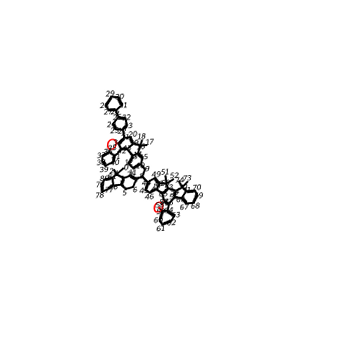 CC1(C)C2=C(CCC(C(Cc3ccc4c(c3)C(C)(C)c3cc(-c5ccc(-c6ccccc6)cc5)c5oc6ccccc6c5c3-4)c3ccc4c(c3)C(C)(C)c3c5c(c6c(oc7ccccc76)c3-4)-c3ccccc3C5(C)C)=C2)c2ccccc21